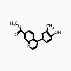 COC(=O)c1ccc2c(-c3ccc(O)c(C)c3)ccnc2c1